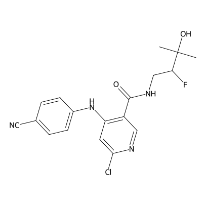 CC(C)(O)C(F)CNC(=O)c1cnc(Cl)cc1Nc1ccc(C#N)cc1